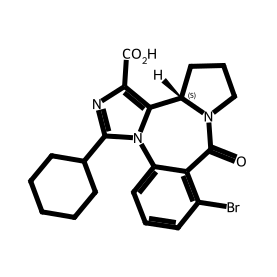 O=C(O)c1nc(C2CCCCC2)n2c1[C@@H]1CCCN1C(=O)c1c(Br)cccc1-2